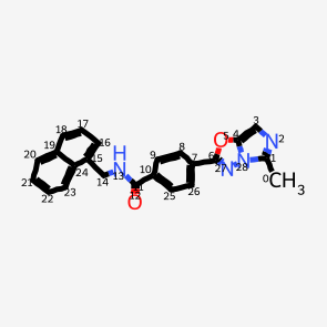 Cc1ncc2oc(-c3ccc(C(=O)NCc4cccc5ccccc45)cc3)nn12